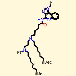 CCCCCCCCCCCCCCCCCN(CC)CCCN(CCCCCCCCCCCCCCCCC)CCCCCC(=O)Nc1nc2ccccc2c2c1ncn2CC(C)C